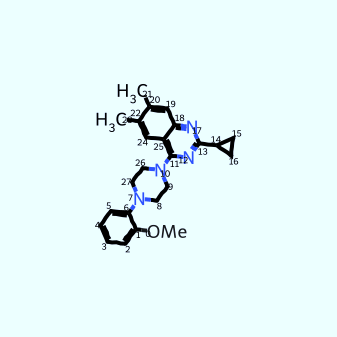 COc1ccccc1N1CCN(c2nc(C3CC3)nc3cc(C)c(C)cc23)CC1